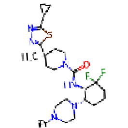 CC(C)N1CCN([C@H]2CCCC(F)(F)[C@@H]2NC(=O)N2CCC(C)(c3nnc(C4CC4)s3)CC2)CC1